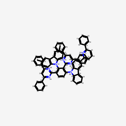 Cc1ccc2c(c1)c1cc(C)ccc1n2-c1c(-c2nc(-c3ccccc3)cc(-c3ccccc3)n2)ccc(-n2c3ccccc3c3cc(-c4cccc(-c5ccccc5)n4)ccc32)c1-c1nc(-c2ccccc2)cc(-c2ccccc2)n1